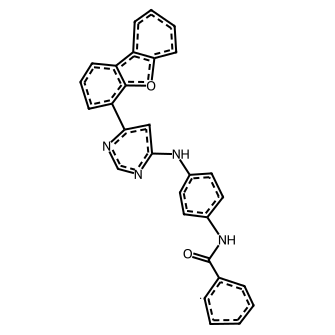 O=C(Nc1ccc(Nc2cc(-c3cccc4c3oc3ccccc34)ncn2)cc1)c1[c]cccc1